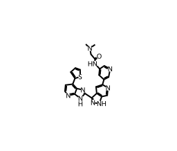 CN(C)CC(=O)Nc1cncc(-c2cc3c(-c4nc5c(-c6cccs6)ccnc5[nH]4)n[nH]c3cn2)c1